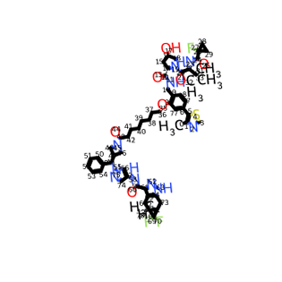 Cc1ncsc1-c1ccc(CNC(=O)[C@@H]2C[C@@H](O)CN2C(=O)C(NC(=O)C2(F)CC2)C(C)(C)C)c(OCCCCCCCC(=O)N2CC(C(c3ccccc3)n3cc(NC(=O)c4n[nH]c5c4C[C@@H]4C(F)(F)[C@]4(C)C5)cn3)C2)c1